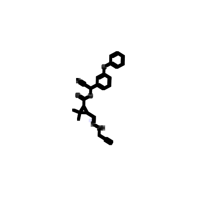 C#CCN/N=C/C1C(C(=O)OC(C#N)c2cccc(Oc3ccccc3)c2)C1(C)C